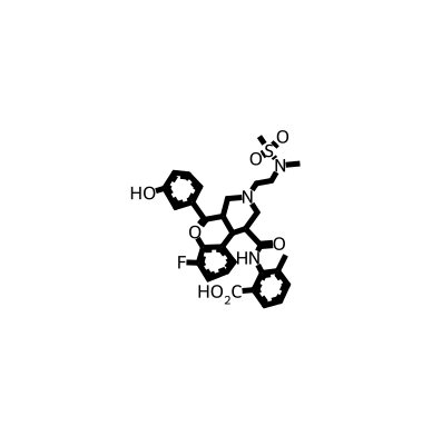 Cc1cccc(C(=O)O)c1NC(=O)C1CN(CCN(C)S(C)(=O)=O)CC(C(=O)c2cccc(O)c2)C1c1cccc(F)c1C